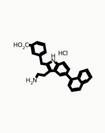 Cl.NCCc1c(Cc2cccc(C(=O)O)c2)[nH]c2ccc(-c3cccc4ccccc34)cc12